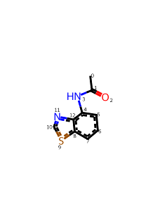 CC(=O)Nc1cccc2s[c]nc12